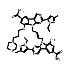 CCn1nc(C)cc1-c1ncc2c3cc(C(N)=O)cc(O)c3n(C/C=C/Cn3c4nc(-c5cc(C)nn5CC)ncc4c4cc(C(N)=O)cc(OCCCN5CCOCC5)c43)c2n1